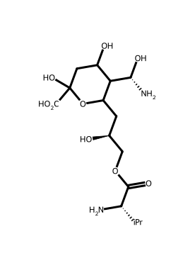 CC(C)[C@H](N)C(=O)OC[C@@H](O)CC1OC(O)(C(=O)O)CC(O)C1[C@@H](N)O